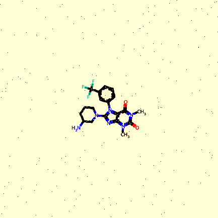 Cn1c(=O)c2c(nc(N3CCCC(N)C3)n2-c2cccc(C(F)(F)F)c2)n(C)c1=O